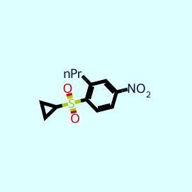 CCCc1cc([N+](=O)[O-])ccc1S(=O)(=O)C1CC1